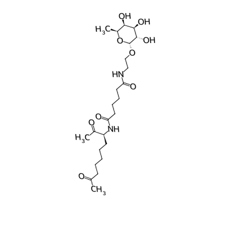 CC(=O)CCCCC[C@H](NC(=O)CCCCC(=O)NCCO[C@@H]1O[C@@H](C)[C@@H](O)[C@@H](O)[C@@H]1O)C(C)=O